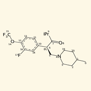 CC1CCN(C[C@H](C(=O)C(C)C)c2ccc(OC(F)(F)F)c(F)c2)CC1